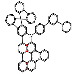 c1ccc(-c2ccc(-c3cc4c(cc3N(c3ccc(-c5cccc(-c6ccccc6)c5)cc3)c3ccc5c6ccccc6c6ccccc6c5c3)C3(c5ccccc5-c5ccccc53)c3ccccc3-4)cc2)cc1